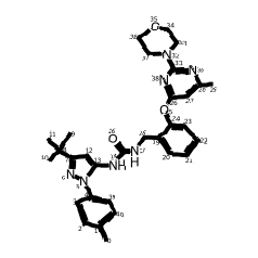 Cc1ccc(-n2nc(C(C)(C)C)cc2NC(=O)NCc2ccccc2Oc2cc(C)nc(N3CCOCC3)n2)cc1